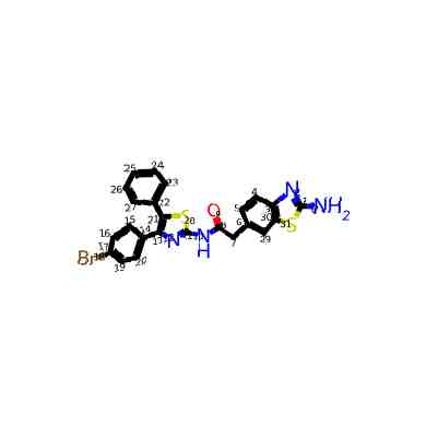 Nc1nc2ccc(CC(=O)Nc3nc(-c4ccc(Br)cc4)c(-c4ccccc4)s3)cc2s1